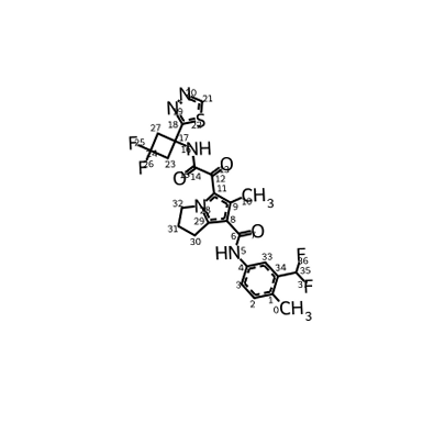 Cc1ccc(NC(=O)c2c(C)c(C(=O)C(=O)NC3(c4nncs4)CC(F)(F)C3)n3c2CCC3)cc1C(F)F